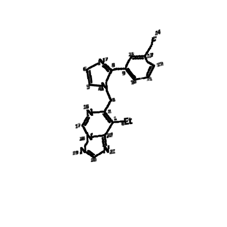 CCc1c(Cn2ccnc2-c2cccc(F)c2)ncn2ncnc12